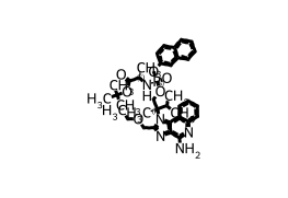 CCOCc1nc2c(N)nc3ccccc3c2n1[C@@](C)(CO[P@@](=O)(N[C@@H](C)C(=O)OC(C)(C)C)Oc1ccc2ccccc2c1)C(C)C